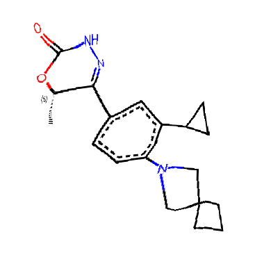 C[C@@H]1OC(=O)NN=C1c1ccc(N2CC3(CCC3)C2)c(C2CC2)c1